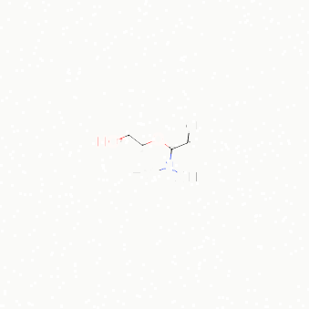 CCC(OCCO)N(C)C